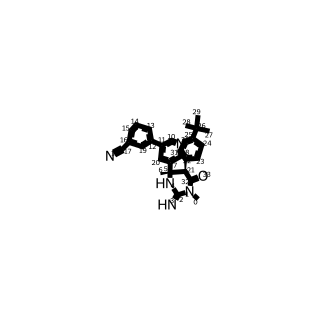 CN1C(=N)N[C@](C)(c2cncc(-c3cccc(C#N)c3)c2)[C@@H](c2ccc(C(C)(C)C)cc2)C1=O